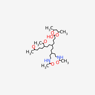 CC(=O)CCCC(CCC(CCCC1(O)OC(C)CC(C)O1)CCC(CCNC(C)=O)CCNC(C)=O)C(C)=O